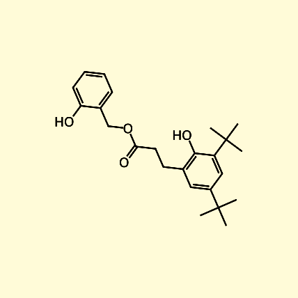 CC(C)(C)c1cc(CCC(=O)OCc2ccccc2O)c(O)c(C(C)(C)C)c1